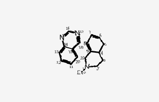 CCN1CCC2CC=CC=C2C1.c1ccc2ncncc2c1